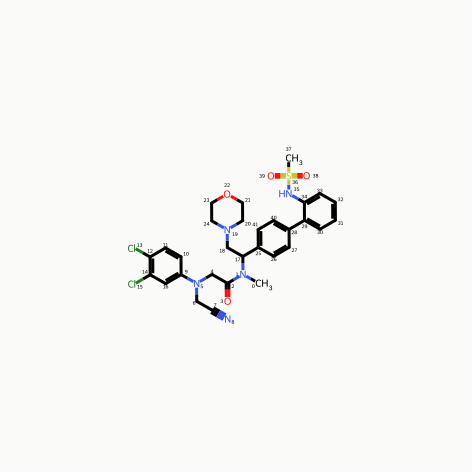 CN(C(=O)CN(CC#N)c1ccc(Cl)c(Cl)c1)C(CN1CCOCC1)c1ccc(-c2ccccc2NS(C)(=O)=O)cc1